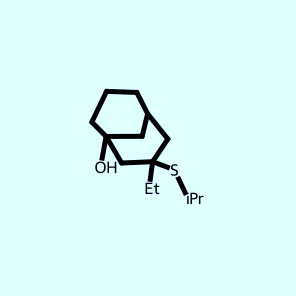 CCC1(SC(C)C)CC2CCCC(O)(C2)C1